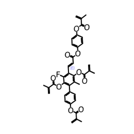 C=C(C)C(=O)Oc1ccc(OC(=O)/C=C/c2c(F)c(OC(=O)C(=C)C)c(-c3ccc(OC(=O)C(=C)C)cc3)c(C)c2OC(=O)C(=C)C)cc1